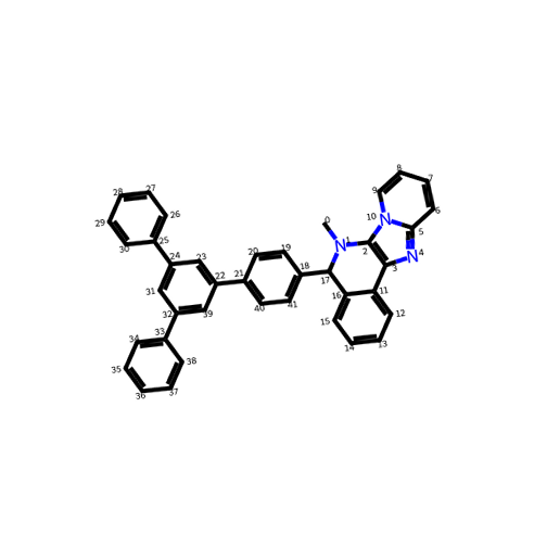 CN1c2c(nc3ccccn23)-c2ccccc2C1c1ccc(-c2cc(-c3ccccc3)cc(-c3ccccc3)c2)cc1